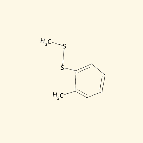 CSSc1ccccc1C